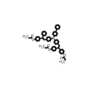 C=CC(=O)Oc1ccc(C(=Cc2ccc(N(c3ccc(C=C(c4ccc(OC(=O)C=C)cc4)c4ccc(OC(=O)C=C)cc4)cc3)c3ccc(-c4ccccc4)cc3)cc2)c2ccccc2)cc1